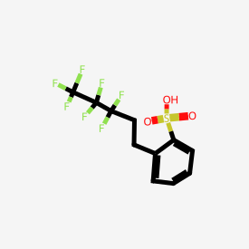 O=S(=O)(O)c1ccccc1CCC(F)(F)C(F)(F)C(F)(F)F